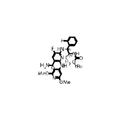 COc1cc(Nc2nc(N[C@H](c3ccccc3F)[C@H](C)NC(=O)OC(C)(C)C)c(F)cc2C(N)=O)cc(OC)n1